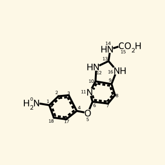 Nc1ccc(Oc2ccc3c(n2)NC(NC(=O)O)N3)cc1